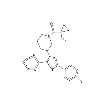 O=C(N1CCCC(c2cc(-c3ccc(F)cc3)nn2-c2ncccn2)C1)C1(C(F)(F)F)CC1